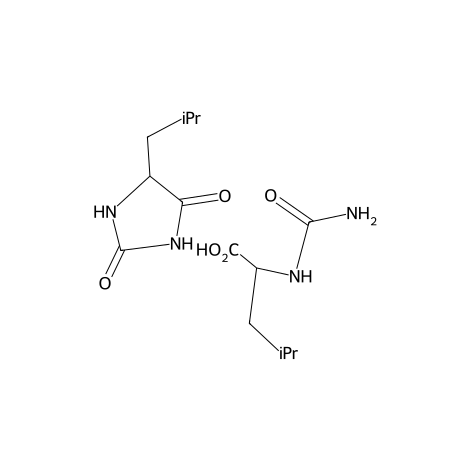 CC(C)CC(NC(N)=O)C(=O)O.CC(C)CC1NC(=O)NC1=O